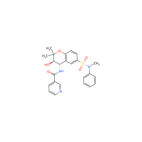 CN(c1ccccc1)S(=O)(=O)c1ccc2c(c1)[C@H](NC(=O)c1cccnc1)[C@@H](O)C(C)(C)O2